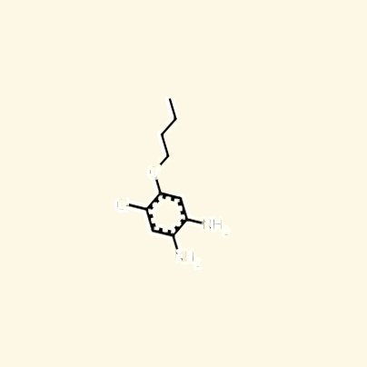 CCCCOc1cc(N)c(N)cc1Cl